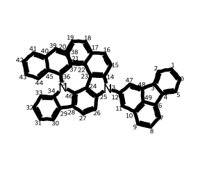 c1ccc2c(c1)-c1cccc3cc(-n4c5ccc6ccccc6c5c5c4ccc4c6ccccc6n(-c6cccc7ccccc67)c45)cc-2c13